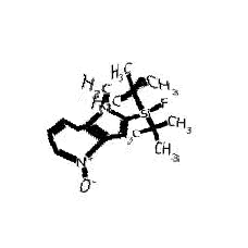 Cn1c([Si](F)(C(C)(C)C)C(C)(C)C)cc2c1ccc[n+]2[O-]